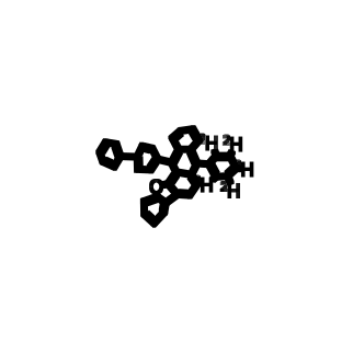 [2H]c1c([2H])c([2H])c(-c2c3ccccc3c(-c3ccc(-c4ccccc4)cc3)c3c2ccc2c4ccccc4oc23)c([2H])c1[2H]